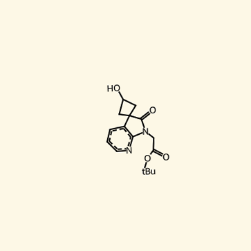 CC(C)(C)OC(=O)CN1C(=O)C2(CC(O)C2)c2cccnc21